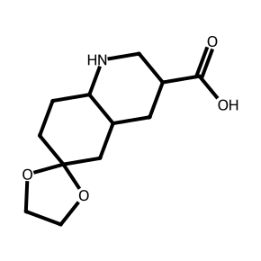 O=C(O)C1CNC2CCC3(CC2C1)OCCO3